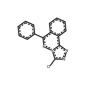 Clc1nnc2c3ccccc3c(-c3ccccc3)nn12